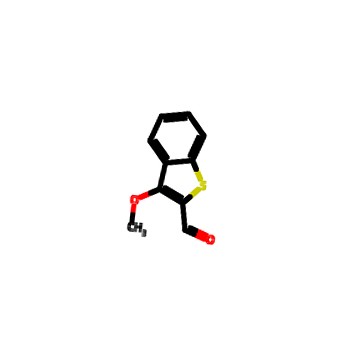 COc1c(C=O)sc2ccccc12